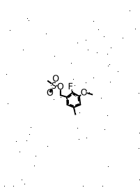 COc1cc(C)cc(COS(C)(=O)=O)c1F